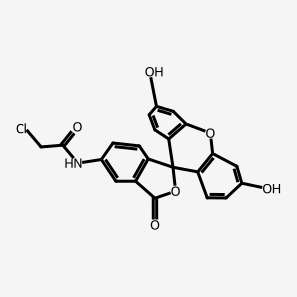 O=C(CCl)Nc1ccc2c(c1)C(=O)OC21c2ccc(O)cc2Oc2cc(O)ccc21